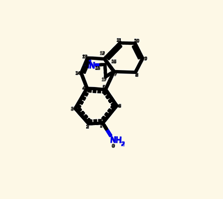 Nc1ccc2c(c1)C13CC=CC=C1C(=C2)NCC3